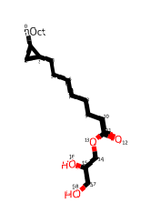 CCCCCCCCC1CC1CCCCCCCC(=O)OCC(O)CO